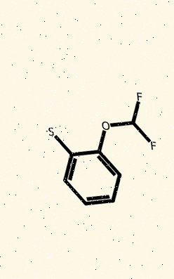 FC(F)Oc1ccccc1[S]